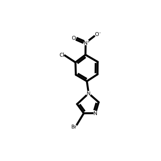 O=[N+]([O-])c1ccc(-n2cnc(Br)c2)cc1Cl